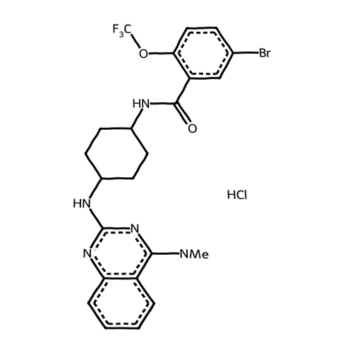 CNc1nc(NC2CCC(NC(=O)c3cc(Br)ccc3OC(F)(F)F)CC2)nc2ccccc12.Cl